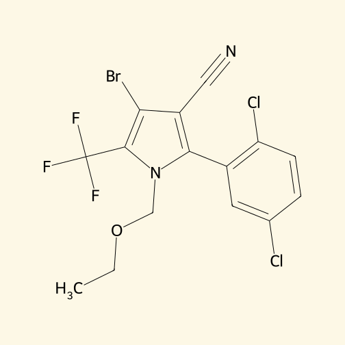 CCOCn1c(-c2cc(Cl)ccc2Cl)c(C#N)c(Br)c1C(F)(F)F